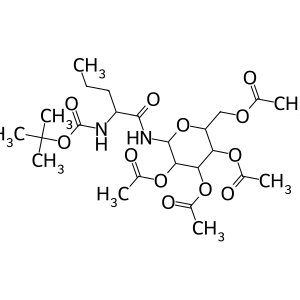 CCCC(NC(=O)OC(C)(C)C)C(=O)NC1OC(COC(C)=O)C(OC(C)=O)C(OC(C)=O)C1OC(C)=O